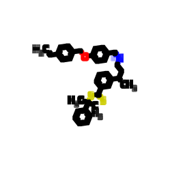 C=Cc1ccc(COc2ccc(/C=N\CCC(C)c3cccc(C(=S)SC(C)(C)c4ccccc4)c3)cc2)cc1